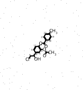 CC(=O)Oc1cc(C(O)CCl)ccc1OC(=O)c1ccc(C)cc1